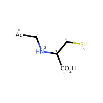 CC(=O)CNC(CS)C(=O)O